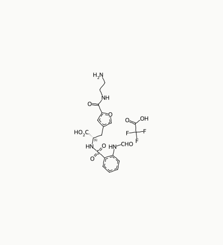 NCCNC(=O)c1cc(C[C@H](NS(=O)(=O)c2ccccc2NC=O)C(=O)O)co1.O=C(O)C(F)(F)F